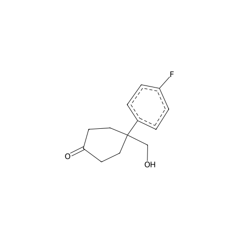 O=C1CCC(CO)(c2ccc(F)cc2)CC1